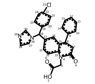 O=C(O)Cn1c(=O)cc(-c2ccccc2)c2cc(C(c3ccc(Cl)cc3)n3ccnc3)ccc21